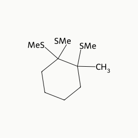 CSC1(C)CCCCC1(SC)SC